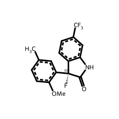 COc1ccc(C)cc1[C@]1(F)C(=O)Nc2cc(C(F)(F)F)ccc21